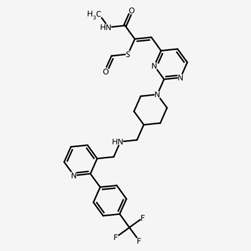 CNC(=O)/C(=C/c1ccnc(N2CCC(CNCc3cccnc3-c3ccc(C(F)(F)F)cc3)CC2)n1)SC=O